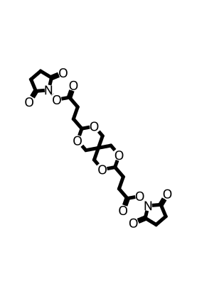 O=C(CCC1OCC2(CO1)COC(CCC(=O)ON1C(=O)CCC1=O)OC2)ON1C(=O)CCC1=O